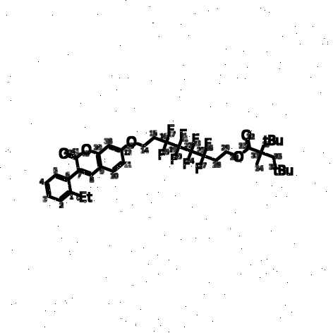 CCc1ccccc1-c1cc2ccc(OCCC(F)(F)C(F)(F)C(F)(F)C(F)(F)CCOC(=O)C(C)(CC(C)(C)C)C(C)(C)C)cc2oc1=O